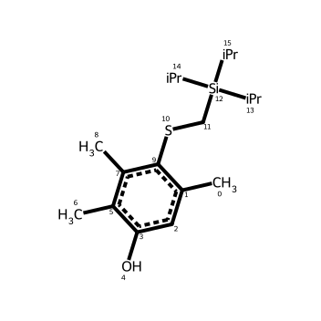 Cc1cc(O)c(C)c(C)c1SC[Si](C(C)C)(C(C)C)C(C)C